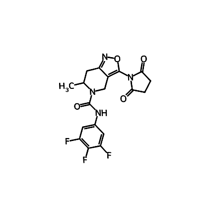 CC1Cc2noc(N3C(=O)CCC3=O)c2CN1C(=O)Nc1cc(F)c(F)c(F)c1